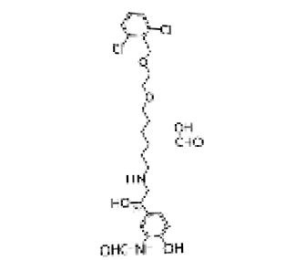 O=CNc1cc([C@@H](O)CNCCCCCCOCCOCc2c(Cl)cccc2Cl)ccc1O.O=CO